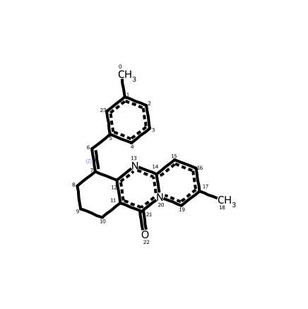 Cc1cccc(/C=C2/CCCc3c2nc2ccc(C)cn2c3=O)c1